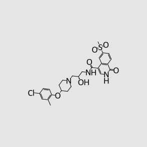 Cc1cc(Cl)ccc1OC1CCN(C[C@H](O)CNC(=O)c2c[nH]c(=O)c3ccc(S(C)(=O)=O)cc23)CC1